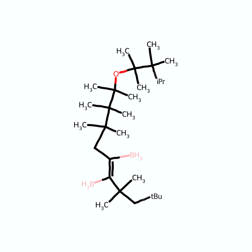 B/C(CC(C)(C)C(C)(C)C(C)(C)OC(C)(C)C(C)(C)C(C)C)=C(/B)C(C)(C)CC(C)(C)C